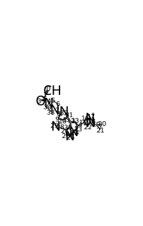 C#CC(=O)N1CCN(c2ccc(-c3cc(-c4cnn(C5CC5)c4)cn4ncc(C#N)c34)cn2)CC1